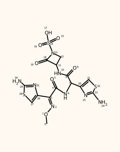 CON=C(C(=O)NC(C(=O)NC1CN(S(=O)(=O)O)C1=O)c1csc(N)n1)c1csc(N)n1